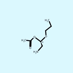 CCCO[C@@H](CN)OC(C)=O